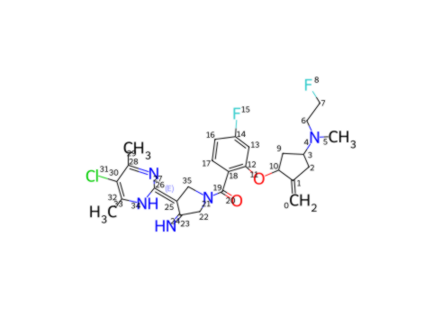 C=C1CC(N(C)CCF)CC1Oc1cc(F)ccc1C(=O)N1CC(=N)/C(=C2/N=C(C)C(Cl)=C(C)N2)C1